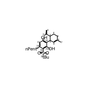 C=C(C)C1CCC(C)=CC1c1c(O)cc(CCCCC)c(S(=O)(=O)C(C)(C)C)c1O